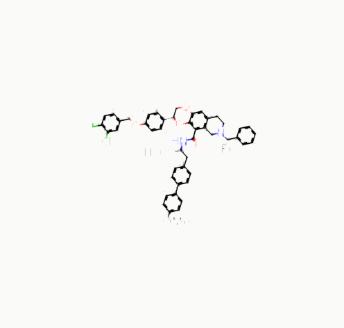 CC[C@@H](c1ccccc1)N1CCc2cc3c(c(C(=O)N[C@@H](Cc4ccc(-c5ccc(OC)cc5)cc4)C(=O)O)c2C1)O[C@@H](c1ccc(OCc2ccc(Cl)c(Cl)c2)cc1)CO3